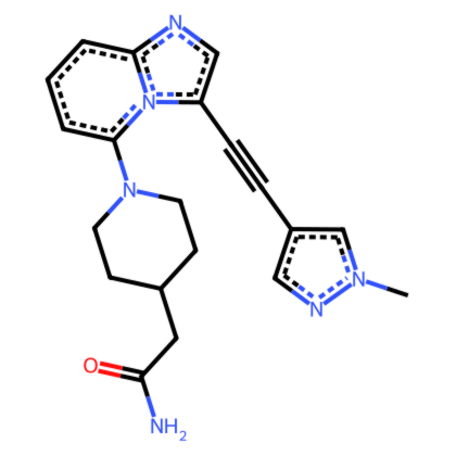 Cn1cc(C#Cc2cnc3cccc(N4CCC(CC(N)=O)CC4)n23)cn1